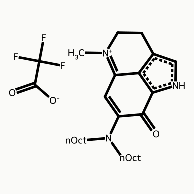 CCCCCCCCN(CCCCCCCC)C1=CC2=[N+](C)CCc3c[nH]c(c32)C1=O.O=C([O-])C(F)(F)F